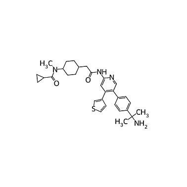 CN(C(=O)C1CC1)C1CCC(CC(=O)Nc2cc(-c3ccsc3)c(-c3ccc(C(C)(C)N)cc3)cn2)CC1